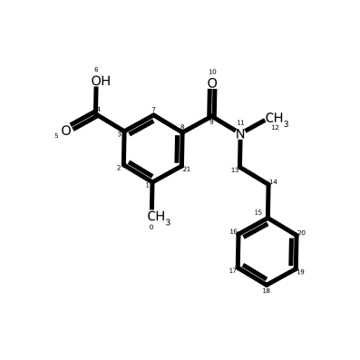 Cc1cc(C(=O)O)cc(C(=O)N(C)CCc2ccccc2)c1